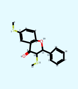 CSc1ccc2c(c1)C(=O)C(SC)C(c1ccccc1)O2